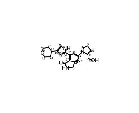 O=C1NCc2nc(N3CCC[C@@H]3CO)cc(-c3nc(C4CCOCC4)c[nH]3)c21